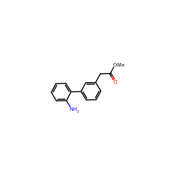 COC(=O)Cc1cccc(-c2ccccc2N)c1